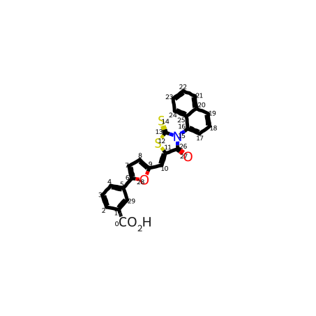 O=C(O)c1cccc(-c2ccc(/C=C3\SC(=S)N(c4cccc5ccccc45)C3=O)o2)c1